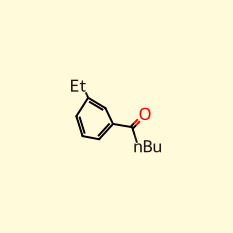 CCCCC(=O)c1cccc(CC)c1